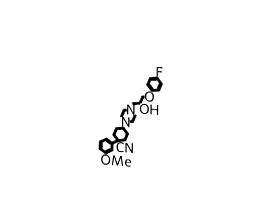 COc1cccc(C2(C#N)CCC(N3CCN(CC(O)COc4ccc(F)cc4)CC3)CC2)c1